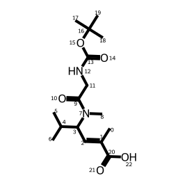 C/C(=C\C(C(C)C)N(C)C(=O)CNC(=O)OC(C)(C)C)C(=O)O